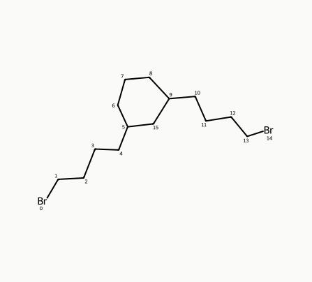 BrCCCCC1CCCC(CCCCBr)C1